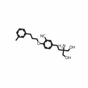 Cc1cccc(CCCOc2ccc(CCC(N)(CO)CO)cc2C#N)c1